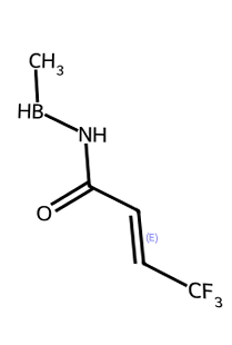 CBNC(=O)/C=C/C(F)(F)F